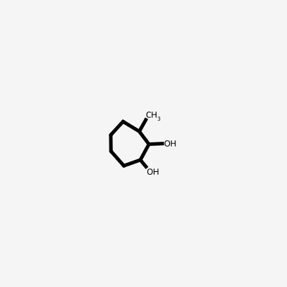 CC1CCCCC(O)C1O